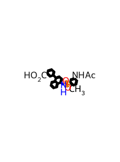 CC(=O)Nc1ccc(C)c(S(=O)(=O)Nc2ccc(-c3cccc(C(=O)O)c3)c3ccccc23)c1